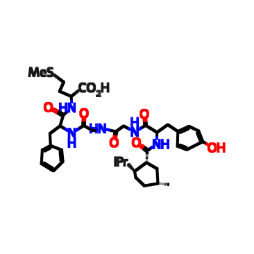 CSCCC(NC(=O)C(Cc1ccccc1)NC(=O)CNC(=O)CNC(=O)C(Cc1ccc(O)cc1)NC(=O)[C@@H]1C[C@H](C)CC[C@H]1C(C)C)C(=O)O